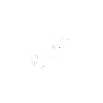 N#CN1CCCC1C(=O)N1CCc2c(-c3c[nH]c4nccnc34)cccc21